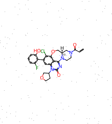 C=CC(=O)N1CCN2c3nc(=O)n(C4CCOC4)c4cc(-c5c(O)cccc5F)c(Cl)c(c34)OC[C@@H]2C1